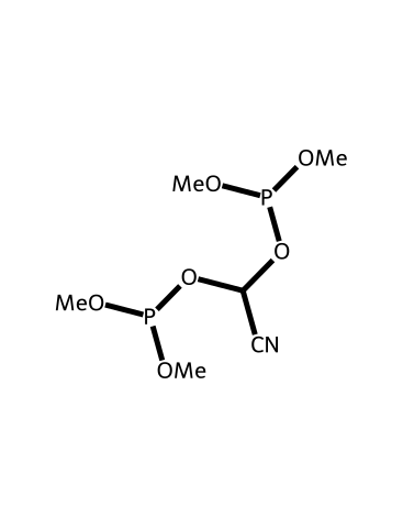 COP(OC)OC(C#N)OP(OC)OC